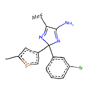 CSC1=NC(c2cccc(Br)c2)(c2csc(C)c2)N=C1N